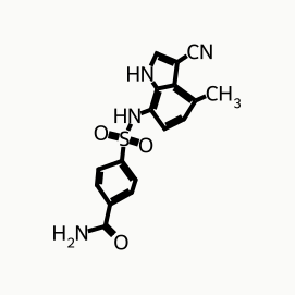 Cc1ccc(NS(=O)(=O)c2ccc(C(N)=O)cc2)c2[nH]cc(C#N)c12